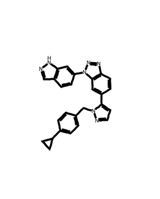 c1cc(-c2ccc3nnn(-c4ccc5cn[nH]c5c4)c3c2)n(Cc2ccc(C3CC3)cc2)n1